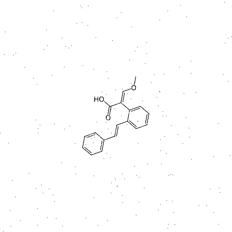 CO/C=C(/C(=O)O)c1ccccc1C=Cc1ccccc1